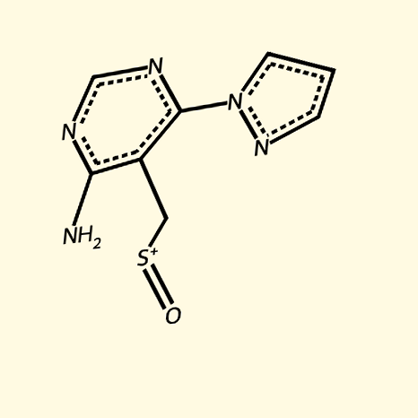 Nc1ncnc(-n2cccn2)c1C[S+]=O